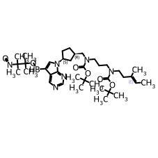 C/C=C(\C)CCN(CCCN(C[C@@H]1CC[C@H](n2cc(BOC(C)(C)C(C)(C)N=O)c3cncnc32)C1)C(=O)OC(C)(C)C)C(=O)OC(C)(C)C